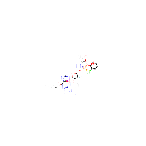 CCOC1NC(N)=Nc2c1ncn2[C@@H]1O[C@H](COP(=O)(NC(C)C(=O)O)Oc2ccccc2Cl)[C@@H](F)[C@@]1(C)O